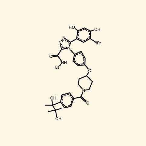 CCNC(=O)c1nnc(-c2cc(C(C)C)c(O)cc2O)n1-c1ccc(OC2CCN(C(=O)c3ccc(C(C)(O)C(C)(C)O)cc3)CC2)cc1